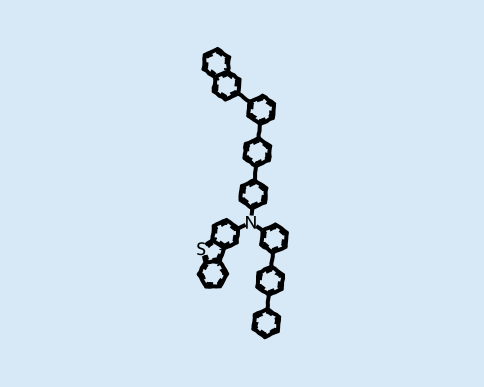 c1ccc(-c2ccc(-c3cccc(N(c4ccc(-c5ccc(-c6cccc(-c7ccc8ccccc8c7)c6)cc5)cc4)c4ccc5sc6ccccc6c5c4)c3)cc2)cc1